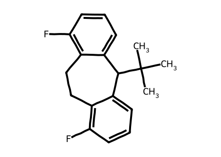 CC(C)(C)C1c2cccc(F)c2CCc2c(F)cccc21